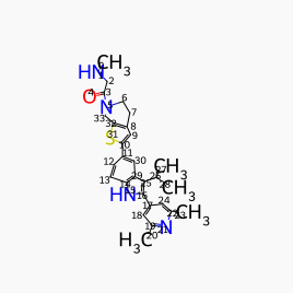 CNCC(=O)N1CCc2cc(-c3ccc4[nH]c(-c5cc(C)nc(C)c5)c(C(C)C)c4c3)sc2C1